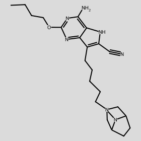 CCCCOc1nc(N)c2[nH]c(C#N)c(CCCCCN3CC4CCC(C3)N4C)c2n1